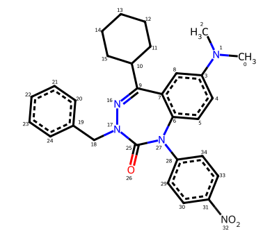 CN(C)c1ccc2c(c1)C(C1CCCCC1)=NN(Cc1ccccc1)C(=O)N2c1ccc([N+](=O)[O-])cc1